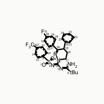 CC(C)(C)/C(N)=N/C(=N/S(=O)(=O)c1ccc(C(F)(F)F)cc1)N1CCC(c2ccccc2)C(c2ccc(F)cc2)=N1